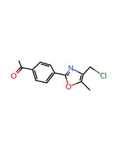 CC(=O)c1ccc(-c2nc(CCl)c(C)o2)cc1